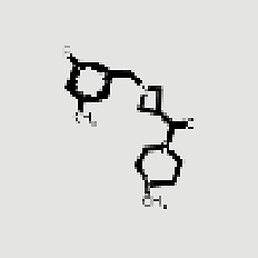 Cc1cc(F)cc(CN2CC(C(=O)N3CCN(C)CC3)C2)c1